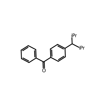 CC(C)C(c1ccc(C(=O)c2ccccc2)cc1)C(C)C